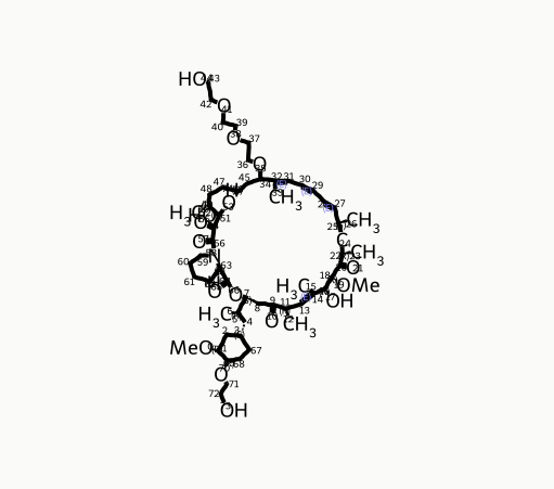 CO[C@@H]1C[C@H](C[C@@H](C)[C@@H]2CC(=O)[C@H](C)/C=C(\C)[C@@H](O)[C@@H](OC)C(=O)[C@H](C)C[C@H](C)/C=C/C=C/C=C(\C)C(OCCOCCOCCO)C[C@@H]3CC[C@@H](C)[C@@](O)(O3)C(=O)C(=O)N3CCCC[C@H]3C(=O)O2)CC[C@H]1OCCO